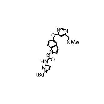 CNCc1cc(Oc2ccc3c(ccn3OC(=O)Nc3ccn(C(C)(C)C)n3)c2)ncn1